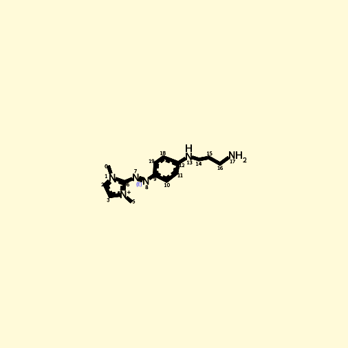 Cn1cc[n+](C)c1/N=N/c1ccc(NCCCN)cc1